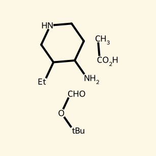 CC(=O)O.CC(C)(C)OC=O.CCC1CNCCC1N